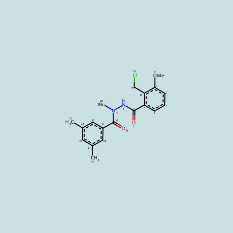 COc1cccc(C(=O)NN(C(=O)c2cc(C)cc(C)c2)C(C)(C)C)c1CCl